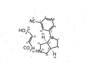 N#Cc1cncc(N2CC[C@H]3CNC[C@H]32)c1.O=C(O)C=CC(=O)O